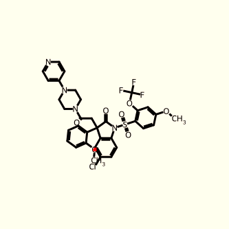 COc1ccc(S(=O)(=O)N2C(=O)C(CC(=O)N3CCN(c4ccncc4)CC3)(c3ccccc3OC)c3cc(Cl)ccc32)c(OC(F)(F)F)c1